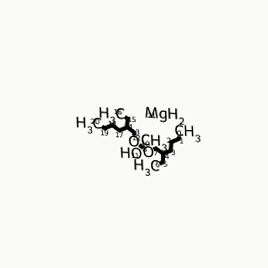 CCCCC(CC)COC(C)(O)OCC(CC)CCCC.[MgH2]